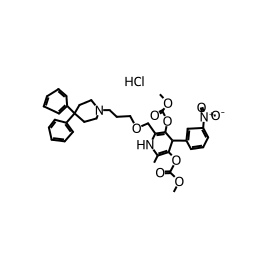 COC(=O)OC1=C(C)NC(COCCCN2CCC(c3ccccc3)(c3ccccc3)CC2)=C(OC(=O)OC)C1c1cccc([N+](=O)[O-])c1.Cl